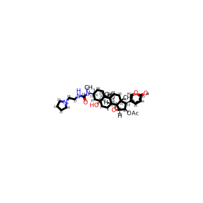 CC(=O)O[C@H]1[C@H]2O[C@]23[C@@H]2CC[C@]4(O)C[C@@H](N(C)C(=O)NCCN5CCCC5)CC[C@]4(C)[C@H]2CC[C@]3(C)[C@H]1c1ccc(=O)oc1